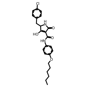 CCCCCCOc1ccc(NC(=O)C2=C(O)C(Cc3ccc(Cl)cc3)NC2=O)cc1